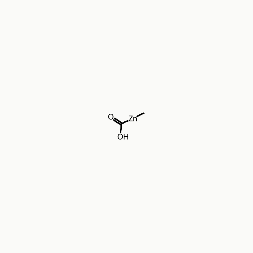 [CH3][Zn][C](=O)O